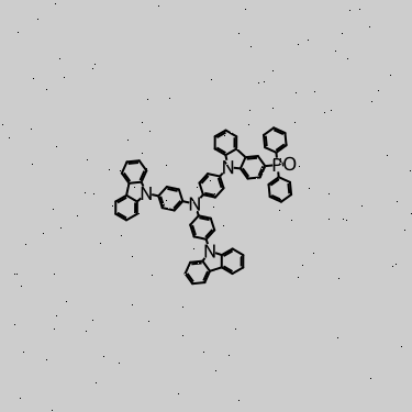 O=P(c1ccccc1)(c1ccccc1)c1ccc2c(c1)c1ccccc1n2-c1ccc(N(c2ccc(-n3c4ccccc4c4ccccc43)cc2)c2ccc(-n3c4ccccc4c4ccccc43)cc2)cc1